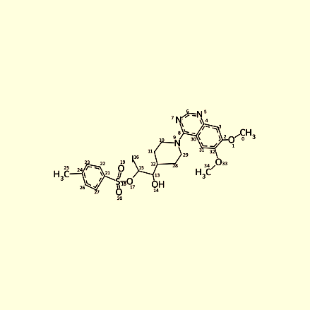 COc1cc2ncnc(N3CCC(C(O)C(I)OS(=O)(=O)c4ccc(C)cc4)CC3)c2cc1OC